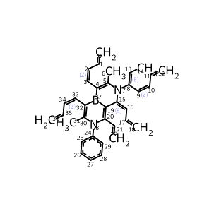 C=C/C=C\C1=C(C)N(C(/C=C\C=C)=C/C)/C(=C/C=C)C2=C(C=C)N(c3ccccc3)C(C)=C(/C=C\C=C)B12